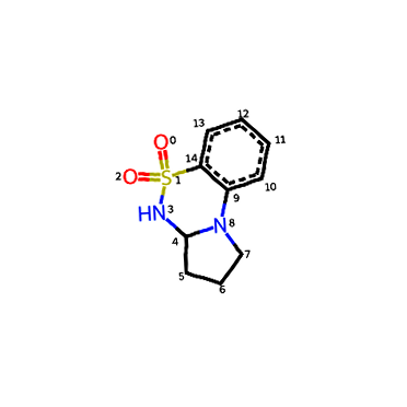 O=S1(=O)NC2CCCN2c2ccccc21